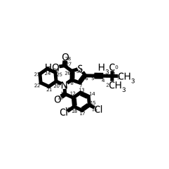 CC(C)(C)C#Cc1cc(N(C(=O)c2ccc(Cl)cc2Cl)C2CCCCC2)c(C(=O)O)s1